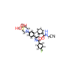 N#CCNC(=O)[C@@H]1CCCC[C@H]1c1oc(-c2ccc(F)cc2)nc1-c1ccc(N2CCS(O)(O)CC2)cc1